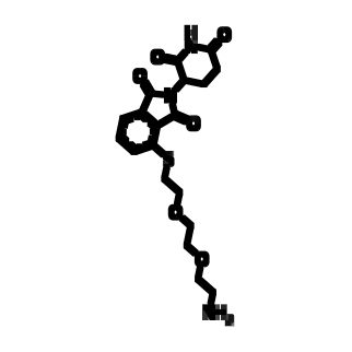 NCCOCCOCCSc1cccc2c1C(=O)N(C1CCC(=O)NC1=O)C2=O